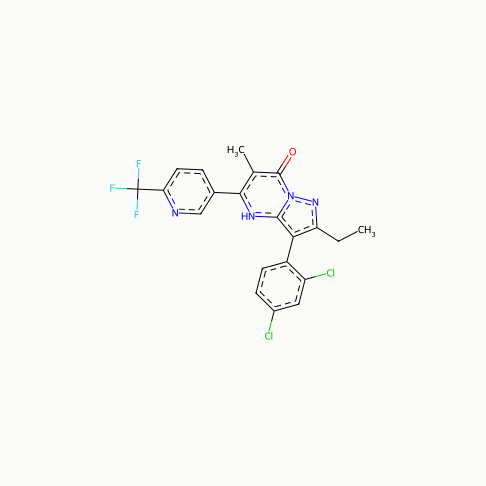 CCc1nn2c(=O)c(C)c(-c3ccc(C(F)(F)F)nc3)[nH]c2c1-c1ccc(Cl)cc1Cl